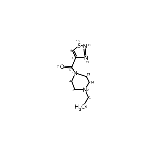 CCN1CCN(C(=O)c2csnn2)CC1